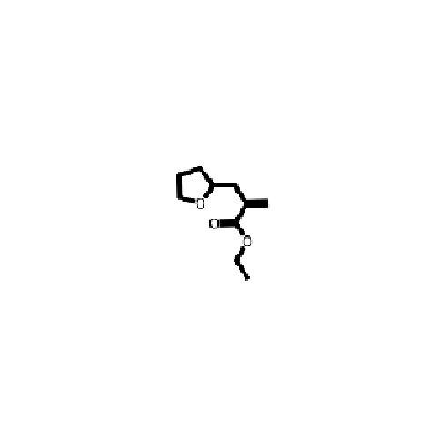 C=C(CC1CCCO1)C(=O)OCC